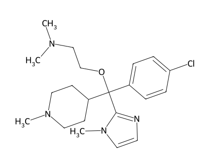 CN(C)CCOC(c1ccc(Cl)cc1)(c1nccn1C)C1CCN(C)CC1